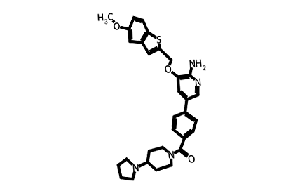 COc1ccc2sc(COc3cc(-c4ccc(C(=O)N5CCC(N6CCCC6)CC5)cc4)cnc3N)cc2c1